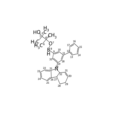 CC(C)(O)C(C)(C)OBc1cc(-c2ccccc2)cc(N2c3ccccc3C3CCC=CC32)c1